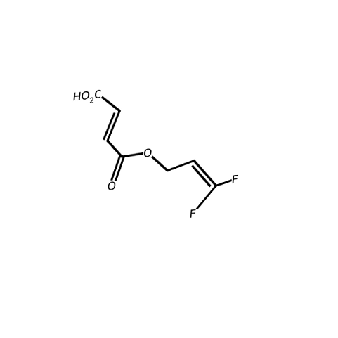 O=C(O)C=CC(=O)OCC=C(F)F